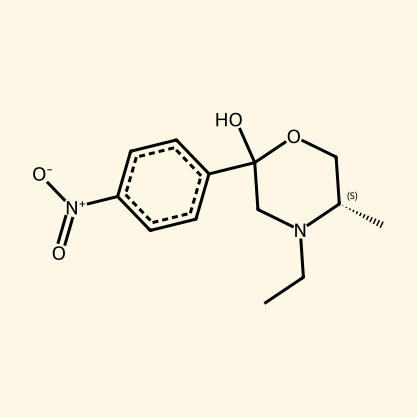 CCN1CC(O)(c2ccc([N+](=O)[O-])cc2)OC[C@@H]1C